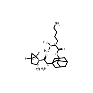 CN(C)[C@@H](CCCCN)C(=O)OC12CC3CC(C1)CC([C@H](N)C(=O)N1[C@H](C#N)C[C@@H]4C[C@@H]41)(C3)C2